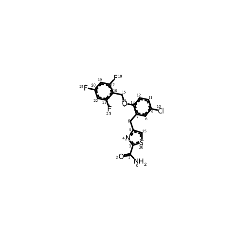 NC(=O)c1nc(Cc2cc(Cl)ccc2OCc2c(F)cc(F)cc2F)cs1